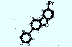 CC(C)c1ccc2oc3cc(-c4ccccc4)ccc3c2c1